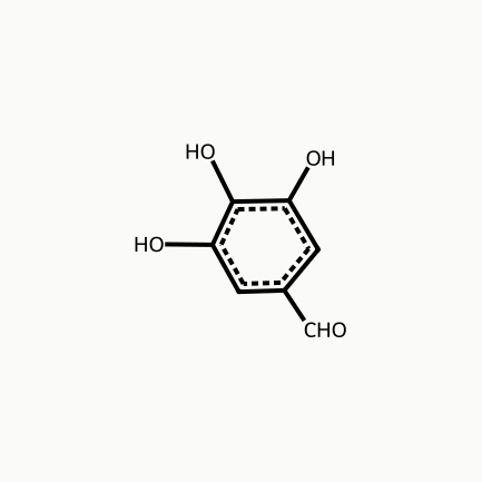 O=Cc1cc(O)c(O)c(O)c1